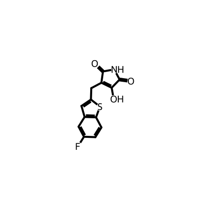 O=C1NC(=O)C(Cc2cc3cc(F)ccc3s2)=C1O